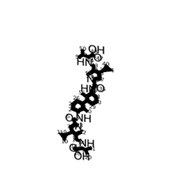 Cc1c(NC(=O)c2cc(C3CC3)c(CNC(C(=O)O)C(C)C)cn2)cccc1-c1cccc(NC(=O)c2cc(C3CC3)c(CNC(C(=O)O)C(C)C)cn2)c1C